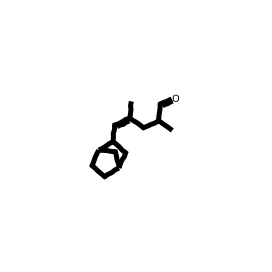 CC(=CC1CC2CCC1C2)CC(C)C=O